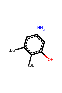 CC(C)(C)c1cccc(O)c1C(C)(C)C.N